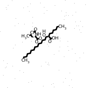 CCCCCCCCCCCC(CC(O)C(CCCCCC)C(=O)O)OC(=O)[C@H](CC(C)C)NC=O